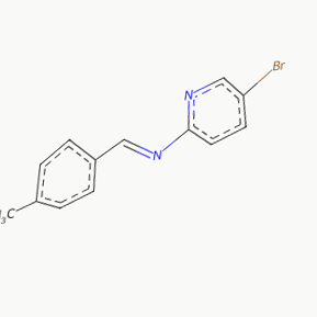 Cc1ccc(/C=N/c2ccc(Br)cn2)cc1